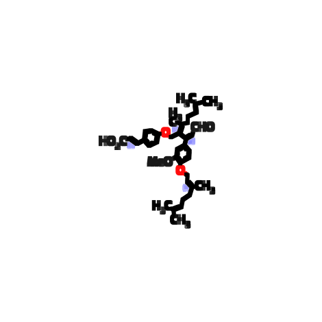 COc1cc(C(=C/C=O)/C(COc2ccc(/C=C/C(=O)O)cc2)=C(/C)CCC=C(C)C)ccc1OC/C=C(\C)CCC=C(C)C